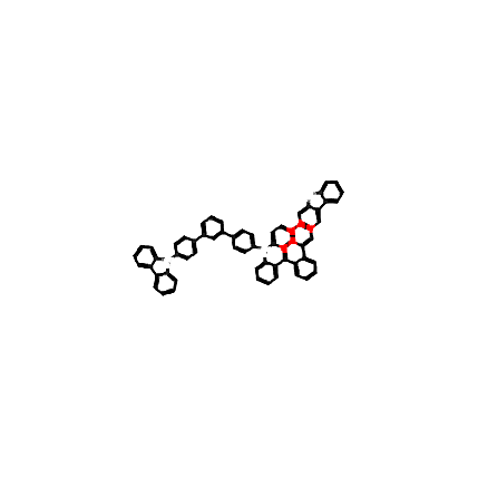 c1cc(-c2ccc(N(c3ccc(-c4ccc5c(c4)oc4ccccc45)cc3)c3ccccc3-c3cc4ccccc4c4ccccc34)cc2)cc(-c2ccc(-n3c4ccccc4c4ccccc43)cc2)c1